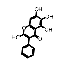 O=c1c(-c2ccccc2)c(O)oc2cc(O)c(O)c(O)c12